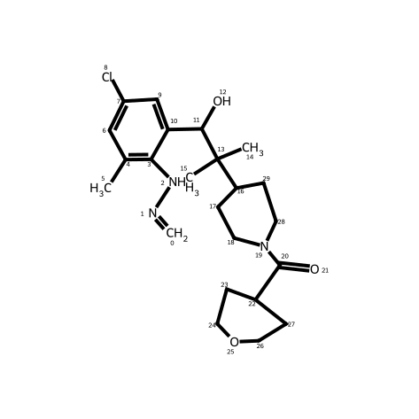 C=NNc1c(C)cc(Cl)cc1C(O)C(C)(C)C1CCN(C(=O)C2CCOCC2)CC1